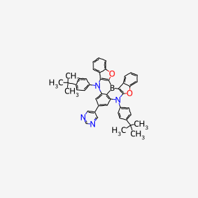 CC(C)(C)c1ccc(N2c3cc(-c4cncnc4)cc4c3B(c3oc5ccccc5c3N4c3ccc(C(C)(C)C)cc3)c3c2oc2ccccc32)cc1